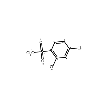 O=S(=O)(c1ccc(Cl)cc1Cl)C(Cl)(Cl)Cl